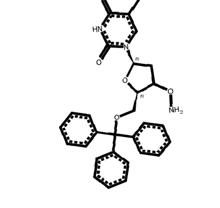 Cc1cn([C@H]2CC(ON)[C@@H](COC(c3ccccc3)(c3ccccc3)c3ccccc3)O2)c(=O)[nH]c1=O